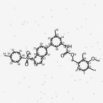 COc1c(C)cnc(COC(=O)Nc2cc(C)cc(-c3ccc4c(cnn4S(=O)(=O)c4ccc(C)cc4)c3)c2)c1C